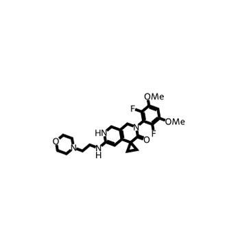 COc1cc(OC)c(F)c(N2CC3=C(C=C(NCCN4CCOCC4)NC3)C3(CC3)C2=O)c1F